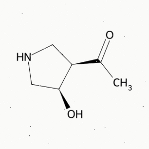 CC(=O)[C@@H]1CNC[C@@H]1O